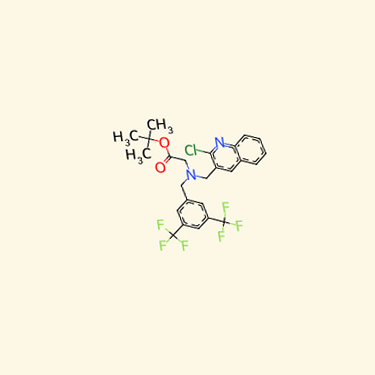 CC(C)(C)OC(=O)CN(Cc1cc(C(F)(F)F)cc(C(F)(F)F)c1)Cc1cc2ccccc2nc1Cl